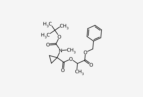 CC(OC(=O)C1(N(C)C(=O)OC(C)(C)C)CC1)C(=O)OCc1ccccc1